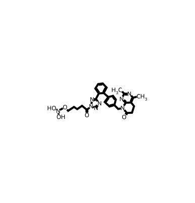 Cc1nc(C)c2c(n1)N(Cc1ccc(-c3ccccc3-c3nnn(C(=O)CCCCON(O)O)n3)cc1)C(=O)CC2